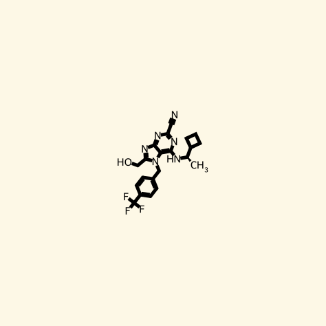 C[C@@H](Nc1nc(C#N)nc2nc(CO)n(Cc3ccc(C(F)(F)F)cc3)c12)C1CCC1